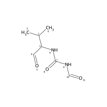 CC(C)C(C=O)NC(=O)NC=O